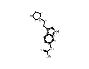 CC(C)C(=O)Oc1ccc2c(CCN3CCCC3)c[nH]c2c1